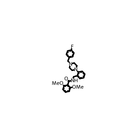 COc1cccc(OC)c1C(=O)NCc1ccccc1N1CCN(Cc2ccc(F)cc2)CC1